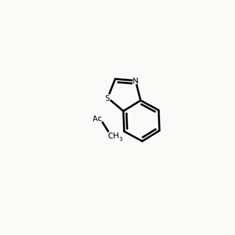 CC(C)=O.c1ccc2scnc2c1